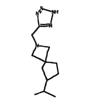 CC(C)C1CCC2(C1)CN(Cc1nn[nH]n1)C2